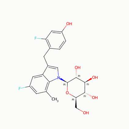 Cc1cc(F)cc2c(Cc3ccc(O)cc3F)cn([C@@H]3O[C@H](CO)[C@@H](O)[C@H](O)[C@H]3O)c12